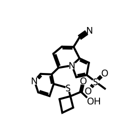 CS(=O)(=O)c1cc2c(C#N)ccc(-c3cnccc3SC3(C(=O)O)CCC3)n2c1